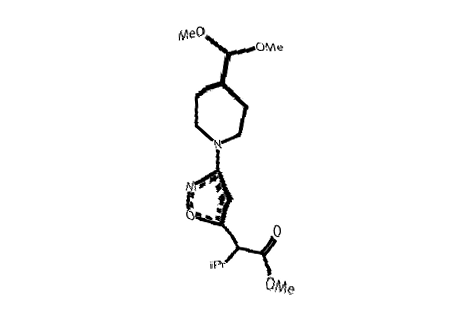 COC(=O)C(c1cc(N2CCC(C(OC)OC)CC2)no1)C(C)C